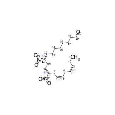 CC/C=C\C/C=C\C/C(=C\C/C(=C\CCCCCC[C]=O)[N+](=O)[O-])[N+](=O)[O-]